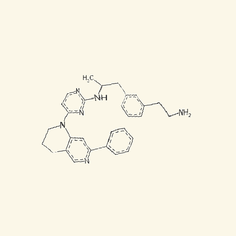 CC(Cc1cccc(CCN)c1)Nc1nccc(N2CCCc3cnc(-c4ccccc4)cc32)n1